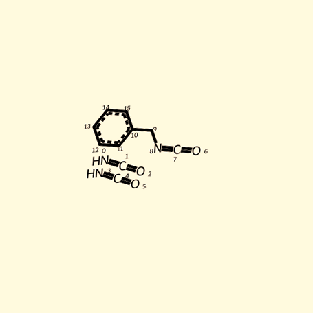 N=C=O.N=C=O.O=C=NCc1ccccc1